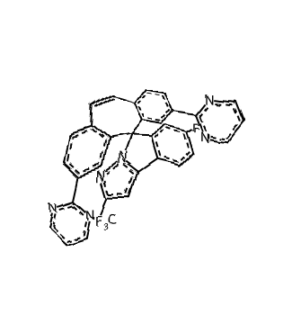 Fc1ccc2c(c1)C1(c3cc(-c4ncccn4)ccc3C=Cc3ccc(-c4ncccn4)cc31)n1nc(C(F)(F)F)cc1-2